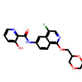 O=C(Nc1ccc2c(OCC3COCCO3)ncc(F)c2c1)c1ncccc1O